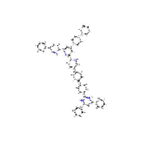 c1ccc(-c2ccc(-c3cc(-c4ccc(-c5ccccc5)cn4)nc(-c4ccc(-c5ccc(-c6ccc(-c7nc(-c8ccccc8)cc(-c8ccccc8)n7)cc6)cc5)cn4)c3)cc2)cc1